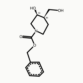 O=C(OCc1ccccc1)N1CC[C@H](CO)[C@H](O)C1